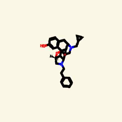 Oc1ccc2c(c1)C13CCN(CC4CC4)C(C2)C12CCC1C3[C@@H](CN1CCc1ccccc1)O2